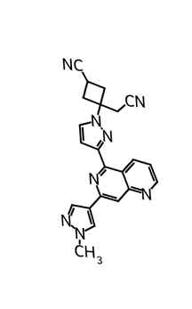 Cn1cc(-c2cc3ncccc3c(-c3ccn(C4(CC#N)CC(C#N)C4)n3)n2)cn1